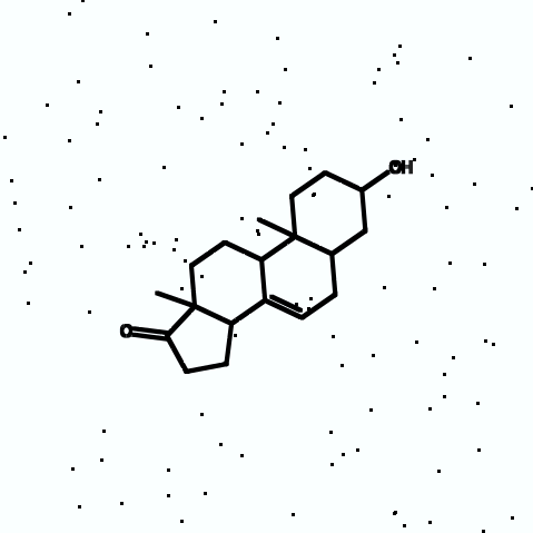 CC12CCC3C(=CCC4CC(O)CCC43C)C1CCC2=O